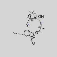 CCCCC1C=C(OCOC)C2=C(/C=C/C[C@@H]3OC(C)(C)O[C@@H]3C(O)/C=C\[C@@H](C)[C@H](C)OC2=O)C1